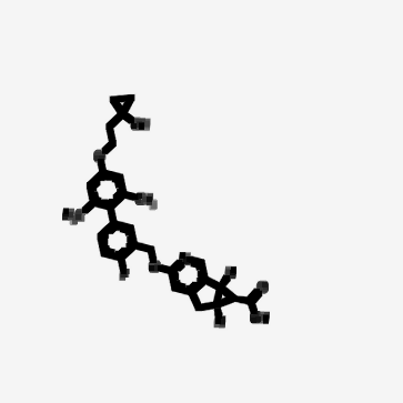 Cc1cc(OCCC2(O)CC2)cc(C)c1-c1ccc(F)c(COc2cc3c(cn2)[C@H]2[C@@H](C3)[C@@H]2C(=O)O)c1